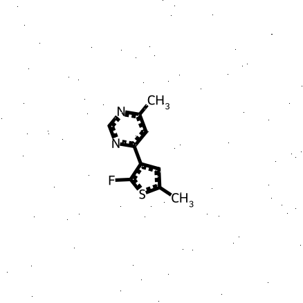 Cc1cc(-c2cc(C)sc2F)ncn1